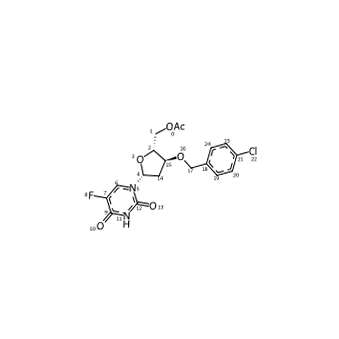 CC(=O)OC[C@H]1O[C@@H](n2cc(F)c(=O)[nH]c2=O)C[C@@H]1OCc1ccc(Cl)cc1